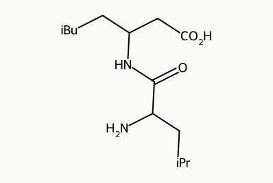 CCC(C)CC(CC(=O)O)NC(=O)C(N)CC(C)C